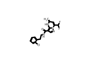 C=C1C=C(C(F)F)n2ncc(C(=O)NCCc3ccccc3Cl)c2N1